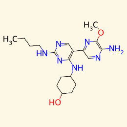 CCCCNc1ncc(-c2cnc(N)c(OC)n2)c(NC2CCC(O)CC2)n1